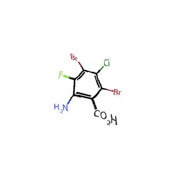 Nc1c(F)c(Br)c(Cl)c(Br)c1C(=O)O